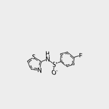 [O-][S+](Nc1nccs1)c1ccc(F)cc1